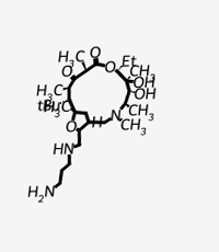 CC[C@H]1OC(=O)[C@H](C)C(=O)[C@H](C)[C@@H](C(C)(C)C)[C@@]2(C)C[C@H](CN(C)[C@H](C)[C@@H](O)[C@]1(C)O)C(CNCCCN)O2